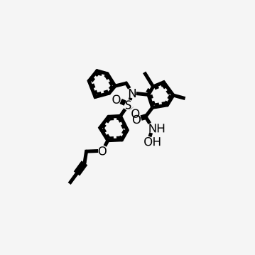 CC#CCOc1ccc(S(=O)(=O)N(Cc2ccccc2)c2c(C)cc(C)cc2C(=O)NO)cc1